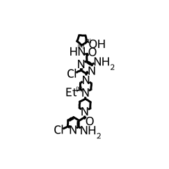 CC[C@H]1CN(c2nc(N)c(C(=O)N[C@@H]3CCC[C@H]3O)nc2Cl)CCN1C1CCN(C(=O)c2ccc(Cl)nc2N)CC1